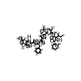 CCC(C)[C@H](NC(=O)[C@H]1CCCCN1C)C(=O)N(C)[C@H](C[C@@H](OC(C)=O)c1nc(C(=O)N[C@@H](Cc2ccccc2)C[C@H](C)C(=O)N[C@@H](CC(=O)OC)C(=O)OC)cs1)C(C)C